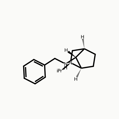 CC(C)N1C[C@H]2CC[C@@H]1[C@@H]2NCc1ccccc1